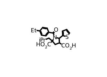 CCc1ccc(C(=O)N2C(c3cccs3)C(C(=O)O)CC2(CC(C)C)C(=O)O)cc1